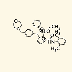 CCOC(=O)C1=C(C(=O)Nc2c(C)cccc2C)C2C=CC1(C(Nc1ccccc1)c1ccc(CN3CCOCC3)cc1)O2